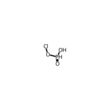 O=[PH](O)OCl